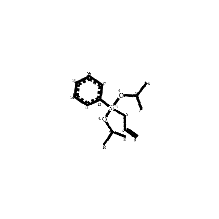 C=CC[Si](OC(C)C)(OC(C)C)c1ccccc1